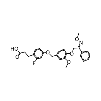 CO/N=C(\COc1ccc(COc2ccc(CCC(=O)O)c(F)c2)cc1OC)c1ccccc1